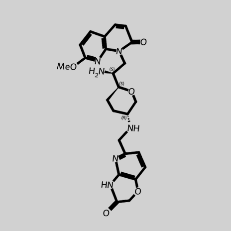 COc1ccc2ccc(=O)n(C[C@H](N)[C@@H]3CC[C@@H](NCc4ccc5c(n4)NC(=O)CO5)CO3)c2n1